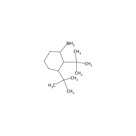 CC(C)(C)C1CCC[CH]([BiH2])C1C(C)(C)C